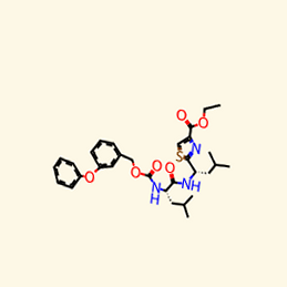 CCOC(=O)c1csc([C@H](CC(C)C)NC(=O)[C@H](CC(C)C)NC(=O)OCc2cccc(Oc3ccccc3)c2)n1